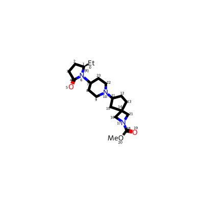 CC[C@@H]1CCC(=O)N1C1CCN(C2CCC3(C2)CN(C(=O)OC)C3)CC1